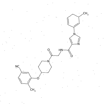 Cc1ccc(C#N)cc1OC1CCN(C(=O)CNC(=O)c2cn(C3=CC(C)CC=C3)cn2)CC1